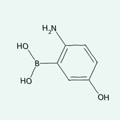 Nc1ccc(O)cc1B(O)O